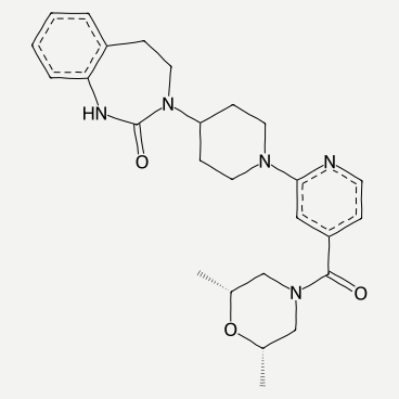 C[C@@H]1CN(C(=O)c2ccnc(N3CCC(N4CCc5ccccc5NC4=O)CC3)c2)C[C@H](C)O1